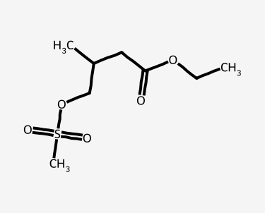 CCOC(=O)CC(C)COS(C)(=O)=O